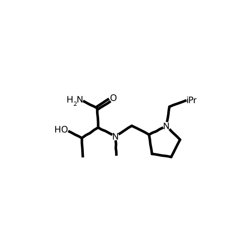 CC(C)CN1CCCC1CN(C)C(C(N)=O)C(C)O